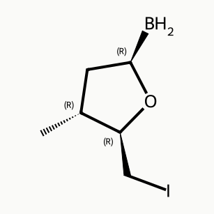 B[C@@H]1C[C@@H](C)[C@H](CI)O1